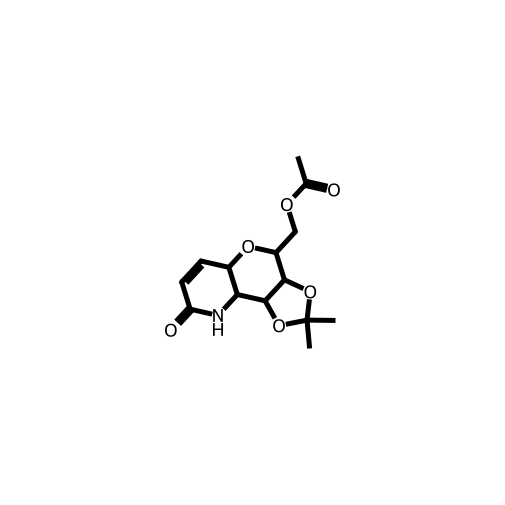 CC(=O)OCC1OC2C=CC(=O)NC2C2OC(C)(C)OC12